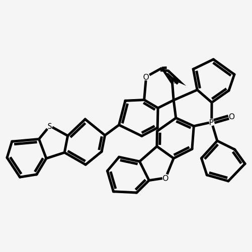 O=P1(c2ccccc2)c2ccccc2C2(c3ccccc3Oc3cc(-c4ccc5c(c4)sc4ccccc45)ccc32)c2cc3c(cc21)oc1ccccc13